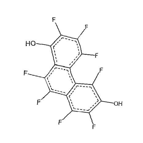 Oc1c(F)c(F)c2c(F)c(F)c3c(O)c(F)c(F)c(F)c3c2c1F